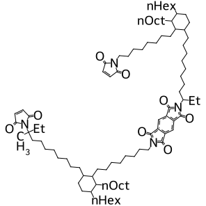 CCCCCCCCC1C(CCCCCC)CCC(CCCCCCCCC(CC)n2c(=O)c3cc4c(=O)n(CCCCCCCCC5C(CCCCCCCCC(C)(CC)N6C(=O)C=CC6=O)CCC(CCCCCC)C5CCCCCCCC)c(=O)c4cc3c2=O)C1CCCCCCCCN1C(=O)C=CC1=O